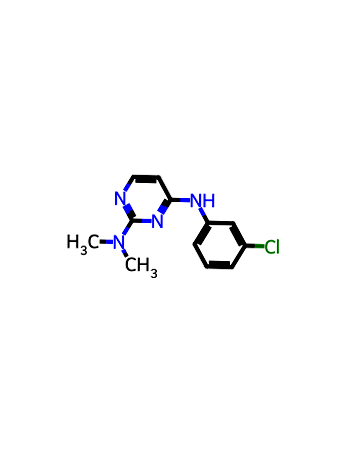 CN(C)c1nccc(Nc2cccc(Cl)c2)n1